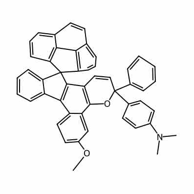 COc1ccc2c3c(c4c(c2c1)OC(c1ccccc1)(c1ccc(N(C)C)cc1)C=C4)C1(c2ccccc2-3)c2cccc3ccc4cccc1c4c23